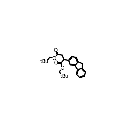 CC(C)(C)COC(=O)CC(C(=O)OCC(C)(C)C)c1ccc2c(c1)-c1ccccc1C2